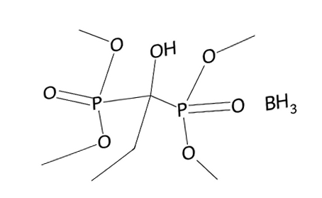 B.CCC(O)(P(=O)(OC)OC)P(=O)(OC)OC